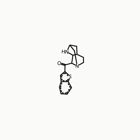 O=C(c1cc2ccccc2s1)C1C2NC3CC2CCN1C3